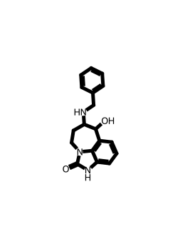 O=c1[nH]c2cccc3c2n1CCC(NCc1ccccc1)C3O